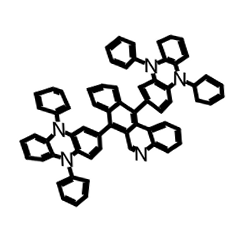 C1=CCC(N2C3=C(CCC=C3)N(c3ccccc3)c3cc(-c4c5ccccc5c(-c5ccc6c(c5)N(c5ccccc5)c5ccccc5N6c5ccccc5)c5cnc6ccccc6c45)ccc32)C=C1